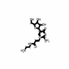 NCCNC(=O)/C=C/n1cc(C2OC(CO)C(O)C2O)c(=O)nc1N